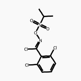 CC(C)S(=O)(=O)ON=C(Cl)c1c(Cl)cccc1Cl